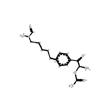 CC(=O)OC(C)C(=O)c1ccc(CCCCCN(C)C=O)cc1